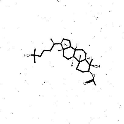 CC(=O)O[C@H]1CC[C@]2(C)[C@H]3CC[C@]4(C)[C@@H]([C@H](C)CCCC(C)(C)O)CC[C@H]4[C@@H]3CC[C@H]2C1(C)O